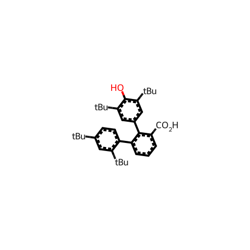 CC(C)(C)c1ccc(-c2cccc(C(=O)O)c2-c2cc(C(C)(C)C)c(O)c(C(C)(C)C)c2)c(C(C)(C)C)c1